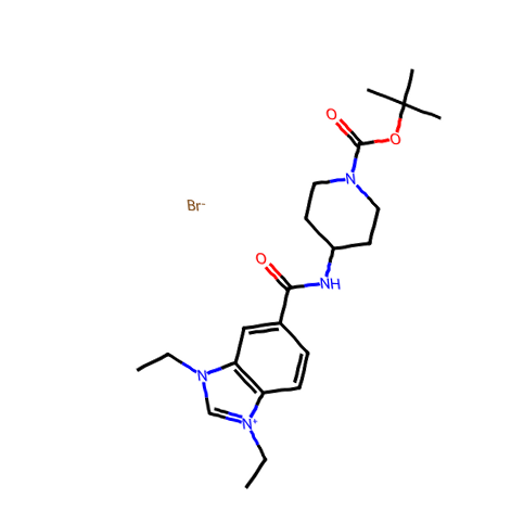 CCn1c[n+](CC)c2ccc(C(=O)NC3CCN(C(=O)OC(C)(C)C)CC3)cc21.[Br-]